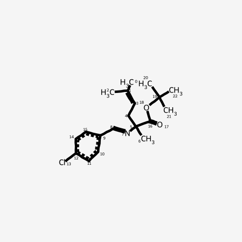 CC(C)=CCC(C)(N=Cc1ccc(Cl)cc1)C(=O)OC(C)(C)C